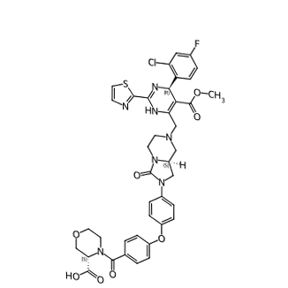 COC(=O)C1=C(CN2CCN3C(=O)N(c4ccc(Oc5ccc(C(=O)N6CCOC[C@H]6C(=O)O)cc5)cc4)C[C@@H]3C2)NC(c2nccs2)=N[C@H]1c1ccc(F)cc1Cl